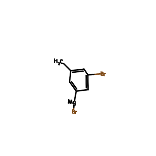 Cc1cc(Br)c[c]([Mg][Br])c1